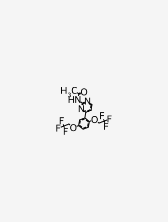 CC(=O)Nc1nccc(-c2cc(OCC(F)(F)F)ccc2OCC(F)(F)F)n1